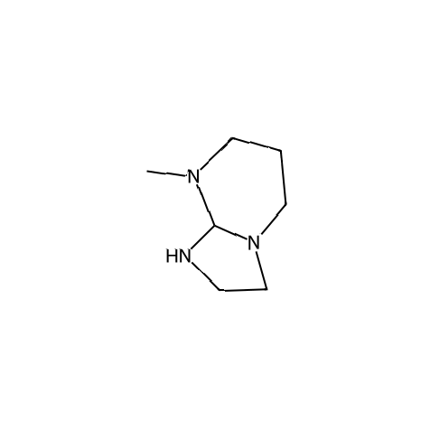 CN1CCCN2CCNC12